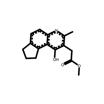 COC(=O)Cc1c(C)nc2ccc3c(c2c1O)CCC3